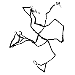 NCC1(CN)CCCC(CC2CO2)(CC2CO2)C1(CC1CO1)CC1CO1